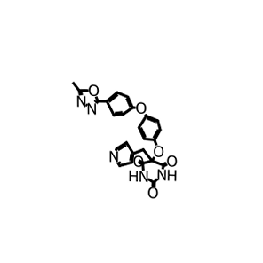 Cc1nnc(-c2ccc(Oc3ccc(OC4(Cc5ccncc5)C(=O)NC(=O)NC4=O)cc3)cc2)o1